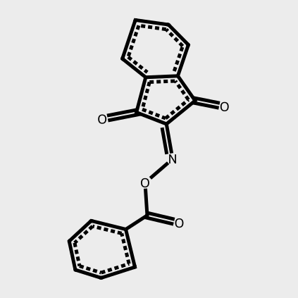 O=C(ON=c1c(=O)c2ccccc2c1=O)c1ccccc1